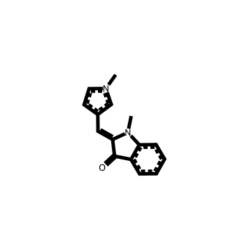 CN1C(=Cc2ccn(C)c2)C(=O)c2ccccc21